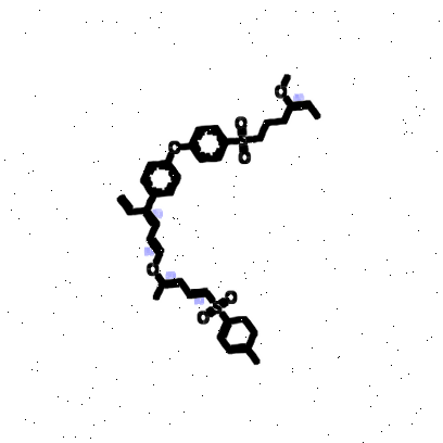 C=C/C(=C\C=C\O/C(C)=C/C=C/S(=O)(=O)C1=CC=C(C)CC1)c1ccc(Oc2ccc(S(=O)(=O)CCC/C(=C\C)OC)cc2)cc1